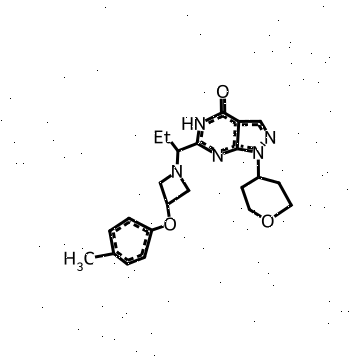 CCC(c1nc2c(cnn2C2CCOCC2)c(=O)[nH]1)N1CC(Oc2ccc(C)cc2)C1